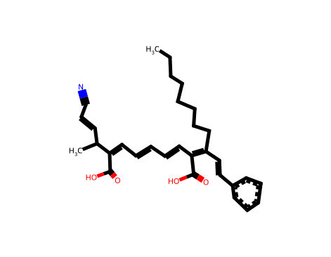 CCCCCCCCC(C=Cc1ccccc1)=C(C=CC=CC=C(C(=O)O)C(C)C=CC#N)C(=O)O